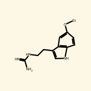 CCOc1ccc2[nH]cc(CCNC(=N)N)c2c1